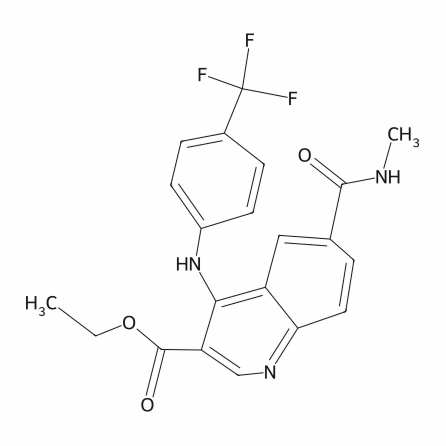 CCOC(=O)c1cnc2ccc(C(=O)NC)cc2c1Nc1ccc(C(F)(F)F)cc1